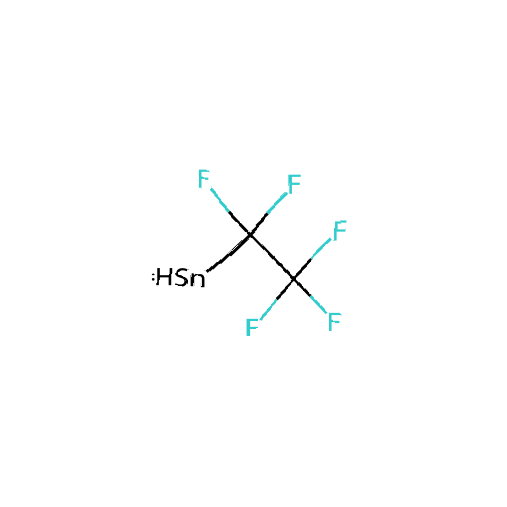 FC(F)(F)[C](F)(F)[SnH]